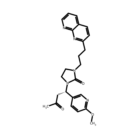 COc1ccc([C@H](CC(C)=O)N2CCN(CCCc3ccc4cccnc4n3)C2=O)cn1